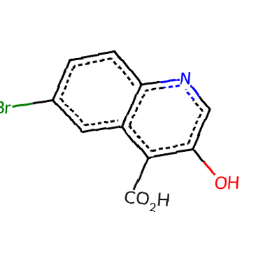 O=C(O)c1c(O)cnc2ccc(Br)cc12